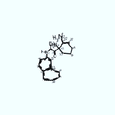 CC(Nc1ccc2ccccc2c1)C(=O)C1(N)CCCCC1N